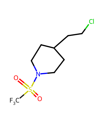 O=S(=O)(N1CCC(CCCl)CC1)C(F)(F)F